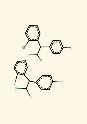 Clc1ccc(C(c2ccccc2Cl)C(Cl)Cl)cc1.Clc1ccc(C(c2ccccc2Cl)C(Cl)Cl)cc1